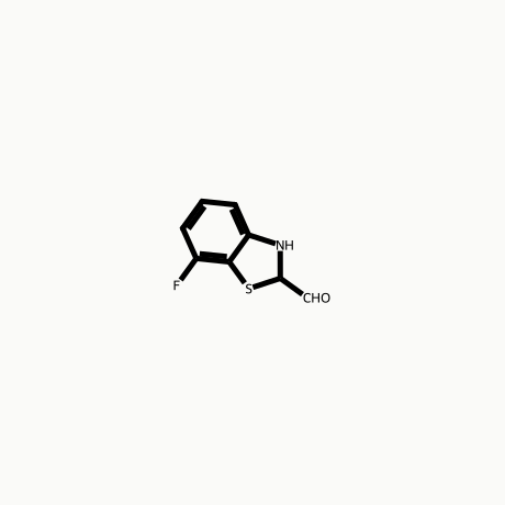 O=CC1Nc2cccc(F)c2S1